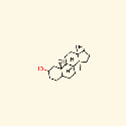 C[C@@]12CCC[C@H]1[C@@H]1CCC3CCC(O)C[C@]3(C)[C@H]1CC2